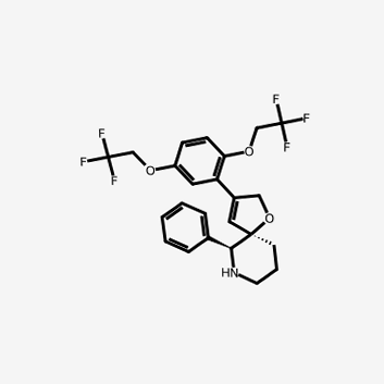 FC(F)(F)COc1ccc(OCC(F)(F)F)c(C2=C[C@@]3(CCCN[C@H]3c3ccccc3)OC2)c1